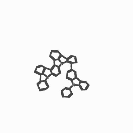 c1ccc(-n2c3ccccc3c3cc(-c4cccc5c6cccc7c8c9c%10cccc%11c%12ccccc%12n(c9ccc8n(c45)c67)c%11%10)ccc32)cc1